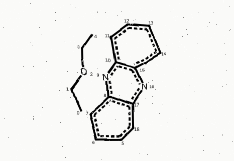 CCOCC.c1ccc2nc3ccccc3nc2c1